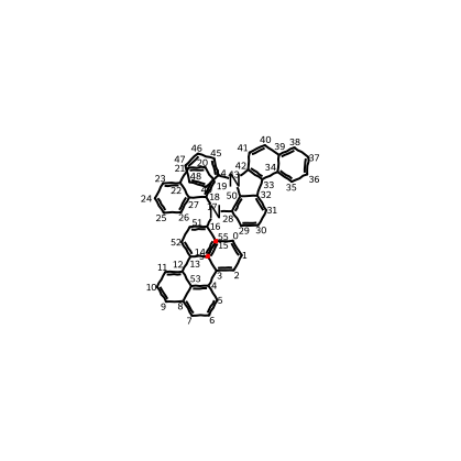 c1ccc(-c2cccc3cccc(-c4ccc(N(c5cccc6ccccc56)c5cccc6c7c8ccccc8ccc7n(-c7ccccc7)c56)cc4)c23)cc1